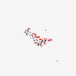 CN(C[C@H](O)[C@@H](O)C(O)[C@H](O)CO)C(=O)CC[C@H](NC(=O)CCN1C(=O)C=CC1=O)C(=O)O